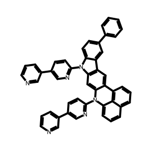 c1ccc(-c2ccc3c(c2)c2cc4c(cc2n3-c2ccc(-c3cccnc3)cn2)N(c2ccc(-c3cccnc3)cn2)c2cccc3cccc-4c23)cc1